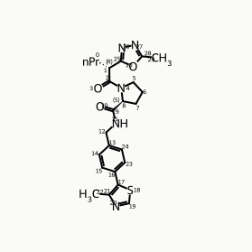 CCC[C@@H](C(=O)N1CCC[C@H]1C(=O)NCc1ccc(-c2scnc2C)cc1)c1nnc(C)o1